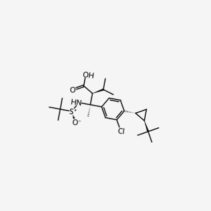 CC(C)[C@H](C(=O)O)[C@](C)(N[S@@+]([O-])C(C)(C)C)c1ccc([C@@H]2C[C@H]2C(C)(C)C)c(Cl)c1